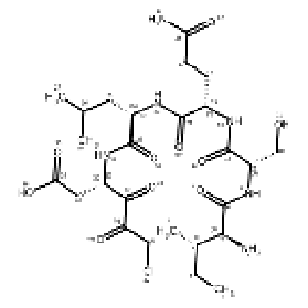 CC[C@H](C)[C@H](N)C(=O)N[C@@H](CO)C(=O)N[C@@H](CCC(N)=O)C(=O)N[C@@H](CC(C)C)C(=O)N[C@@H](CC(=O)O)C(=O)C(=O)CCl